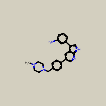 CN1CCN(Cc2ccc(-c3cnc4[nH]cc(-c5cccc(N)c5)c4c3)cc2)CC1